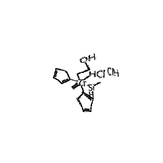 Cl.Cl.[CH2]=[Zr]([CH3])([CH2]CO)([C]1=CC=CC1)([C]1=CC=CC1)[SiH](C)C